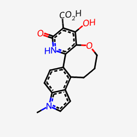 Cn1ccc2c3c(ccc21)-c1[nH]c(=O)c(C(=O)O)c(O)c1OCCC3